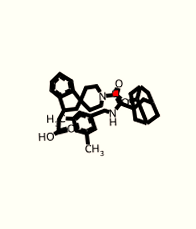 Cc1cc(C)cc(CNC(=O)C23CC4CC(C2)C(OC(=O)N2CCC5(CC2)CC(CC(=O)O)c2ccccc25)C(C4)C3)c1